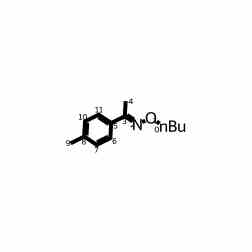 CCCCO/N=C(\C)c1ccc(C)cc1